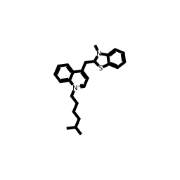 CC(C)CCCC[n+]1ccc(CC2Sc3ccccc3N2C)c2ccccc21